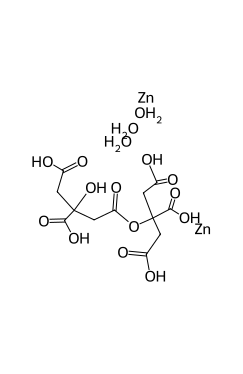 O.O.O.O=C(O)CC(O)(CC(=O)OC(CC(=O)O)(CC(=O)O)C(=O)O)C(=O)O.[Zn].[Zn]